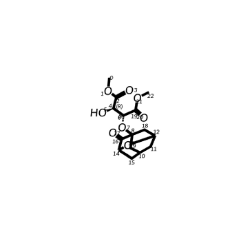 COC(=O)[C@H](O)[C@@H](OC12CC3CC(CC(C3)C1=O)C2)C(=O)OC